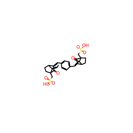 C/C=C1\C2CCC1(CS(=O)(=O)O)C(=O)/C2=C\c1ccc(/C=C2\C(=O)C3(CS(=O)(=O)O)CCC2C3(C)C)cc1